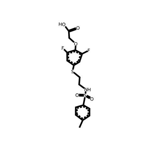 Cc1ccc(S(=O)(=O)NCCSc2cc(F)c(OCC(=O)O)c(F)c2)cc1